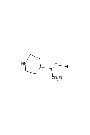 CCOC(=O)C(OCC)C1CCNCC1